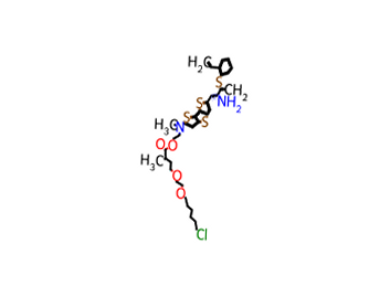 C=Cc1ccccc1SC(=C)/C(N)=C/c1cc2sc3cc(N(C)CCOC(=O)C(C)CCOCCOCCCCCCCl)sc3c2s1